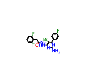 Nc1nc(NNC(=O)Cc2c(F)cccc2F)c(Br)c(-c2ccc(F)cc2)n1